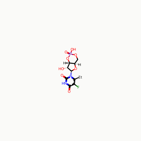 CCc1c(F)c(=O)[nH]c(=O)n1[C@@H]1O[C@@H]2COP(=O)(O)O[C@H]2[C@H]1O